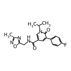 Cc1noc(CNC(=O)c2cc(-c3ccc(F)cc3)c(=O)n(C(C)C)c2)n1